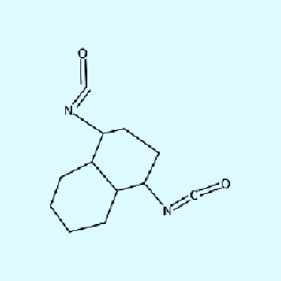 O=C=NC1CCC(N=C=O)C2CCCCC12